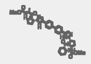 COC(=O)N[C@@H](C)C(=O)N1CCC[C@H]1c1ncc(-c2ccc(-c3ccc(-c4cnc([C@@H]5CCCN5C(=O)[C@H]5CCCC[C@H]5NC(=O)OC)[nH]4)cc3)cc2)[nH]1